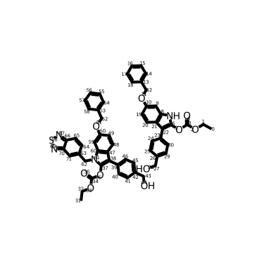 CCOC(=O)Oc1[nH]c2cc(OCc3ccccc3)ccc2c1-c1ccc(CO)cc1.CCOC(=O)Oc1c(-c2ccc(CO)cc2)c2ccc(OCc3ccccc3)cc2n1Cc1ccc2nsnc2c1